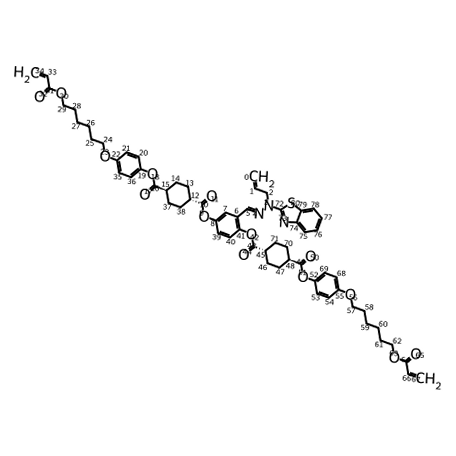 C=CCN(/N=C/c1cc(OC(=O)[C@H]2CC[C@H](C(=O)Oc3ccc(OCCCCCCOC(=O)C=C)cc3)CC2)ccc1OC(=O)[C@H]1CC[C@H](C(=O)Oc2ccc(OCCCCCCOC(=O)C=C)cc2)CC1)c1nc2ccccc2s1